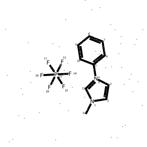 Cn1cc[n+](-c2ccccc2)c1.F[P-](F)(F)(F)(F)F